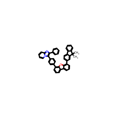 CC1(C)c2ccccc2-c2ccc(-c3cccc4c3oc3c(-c5ccc(-c6c(-c7ccccc7)nc7ccccn67)cc5)cccc34)cc21